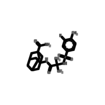 Cc1ccc(S(=O)(=O)NC(C)(C)C(=O)NC23CC4CC(C2)CC(C(N)=O)(C4)C3)cc1F